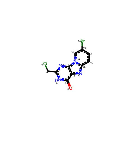 O=c1[nH]c(CCl)nc2c1nc1ccc(Br)cn12